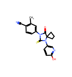 Cc1cc(N2C(=O)C3(CCC3)N(c3ccc(O)nc3)C2=S)ccc1C#N